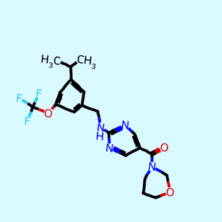 CC(C)c1cc(CNc2ncc(C(=O)N3CCCOC3)cn2)cc(OC(F)(F)F)c1